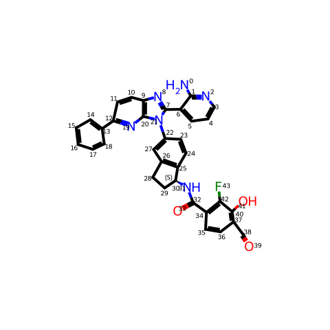 Nc1ncccc1-c1nc2ccc(-c3ccccc3)nc2n1-c1ccc2c(c1)CC[C@@H]2NC(=O)c1ccc(C=O)c(O)c1F